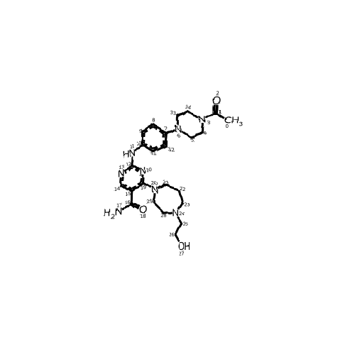 CC(=O)N1CCN(c2ccc(Nc3ncc(C(N)=O)c(N4CCCN(CCO)CC4)n3)cc2)CC1